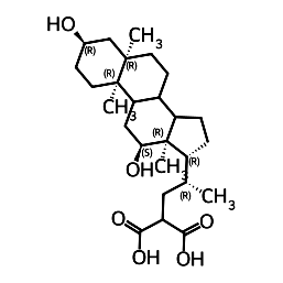 C[C@H](CC(C(=O)O)C(=O)O)[C@H]1CCC2C3CC[C@]4(C)C[C@H](O)CC[C@]4(C)C3C[C@H](O)[C@@]21C